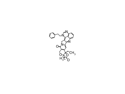 CC[C@@]1(OC(C)=O)C(=O)OCc2c1cc1n(c2=O)Cc2c-1nc1cccc3c1c2N(CCc1ccccc1)C=N3